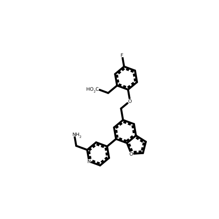 NCc1cc(-c2cc(COc3ccc(F)cc3CC(=O)O)cc3ccoc23)ccn1